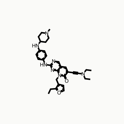 CCc1occc1Cn1c(=O)c(C#CN(CC)CC)cc2cnc(Nc3ccc(NC4CCN(C)CC4)cc3)nc21